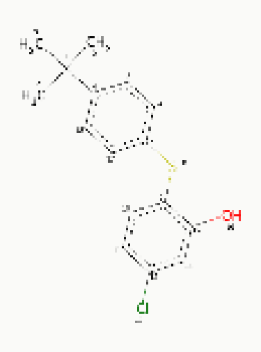 CC(C)(C)c1ccc(Sc2ccc(Cl)cc2O)cc1